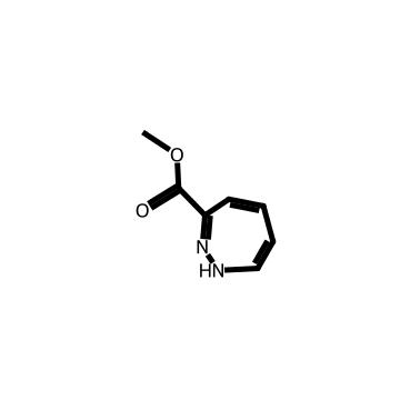 COC(=O)C1=NNC=CC=C1